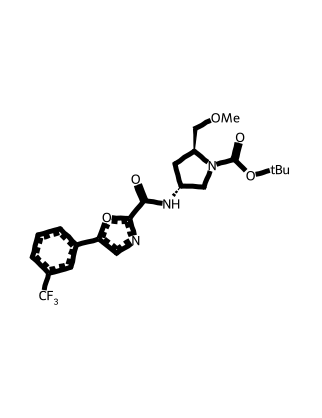 COC[C@@H]1C[C@@H](NC(=O)c2ncc(-c3cccc(C(F)(F)F)c3)o2)CN1C(=O)OC(C)(C)C